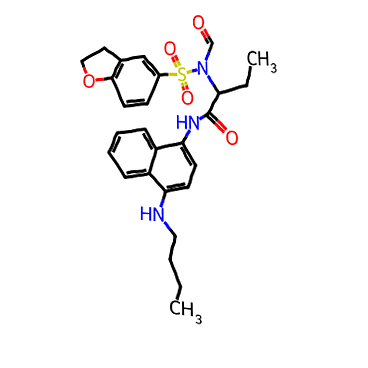 CCCCNc1ccc(NC(=O)C(CC)N(C=O)S(=O)(=O)c2ccc3c(c2)CCO3)c2ccccc12